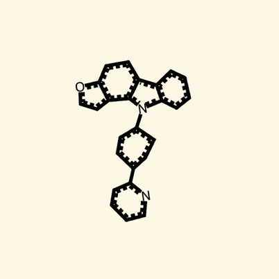 c1ccc(-c2ccc(-n3c4ccccc4c4ccc5occc5c43)cc2)nc1